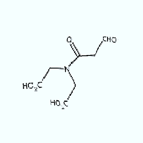 O=[C]CC(=O)N(CC(=O)O)CC(=O)O